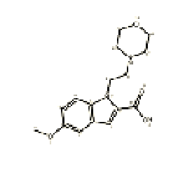 COc1ccc2c(c1)cc(C(=O)O)n2CCN1CCOCC1